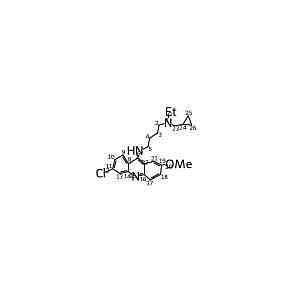 CCN(CCCCNc1c2ccc(Cl)cc2nc2ccc(OC)cc12)CC1CC1